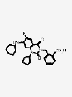 O=C(O)c1ccccc1Cn1c(=O)c2cc(F)c(NC3CCCCC3)cc2n(C2CCCC2)c1=O